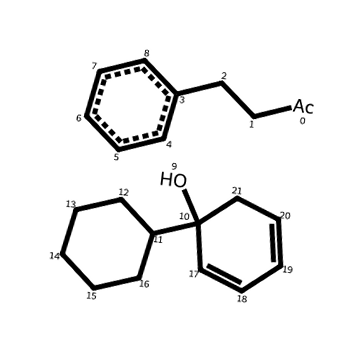 CC(=O)CCc1ccccc1.OC1(C2CCCCC2)C=CC=CC1